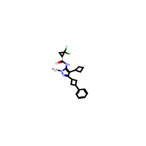 Cn1nc(C2CC(c3ccccc3)C2)c(C2CCC2)c1NC(=O)[C@@H]1CC1(F)F